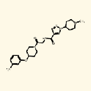 CN1CCC(n2cc(C(=O)NCC(=O)N3CCC(Oc4cccc(C(F)(F)F)c4)CC3)nn2)CC1